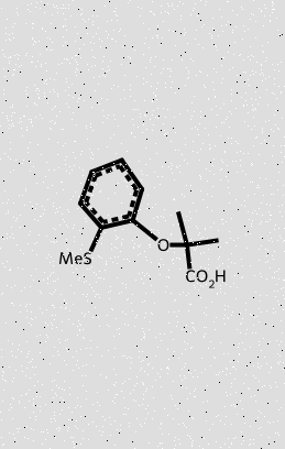 CSc1ccccc1OC(C)(C)C(=O)O